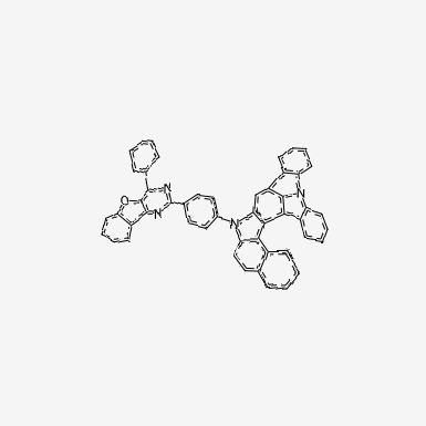 c1ccc(-c2nc(-c3ccc(-n4c5ccc6ccccc6c5c5c6c7ccccc7n7c8ccccc8c(cc54)c67)cc3)nc3c2oc2ccccc23)cc1